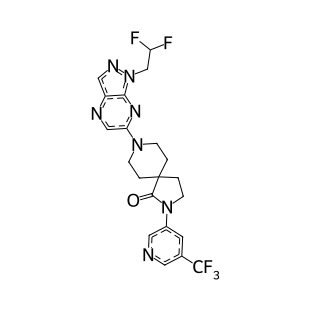 O=C1N(c2cncc(C(F)(F)F)c2)CCC12CCN(c1cnc3cnn(CC(F)F)c3n1)CC2